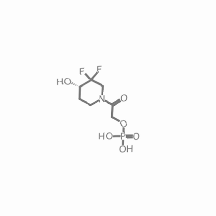 O=C(COP(=O)(O)O)N1CC[C@H](O)C(F)(F)C1